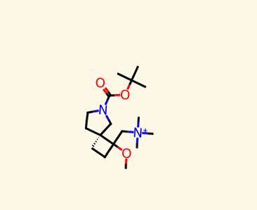 COC1(C[N+](C)(C)C)CC[C@@]12CCN(C(=O)OC(C)(C)C)C2